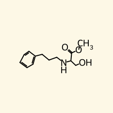 COC(=O)C(CO)NCCCc1ccccc1